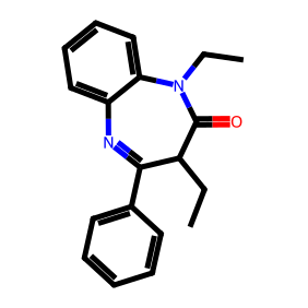 CCC1C(=O)N(CC)c2ccccc2N=C1c1ccccc1